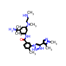 CNCCN(C)C1=CC(NC(=O)c2ccc(C)c(N3C=C(c4cnn(C)c4C)NN3)c2)=CC(C(C)(C)N)C1